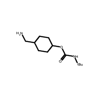 CC(C)(C)NC(=O)OC1CCC(CN)CC1